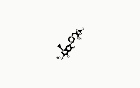 CC(C)(C)c1oc(=O)oc1CN1CCN(c2cc3c(cc2F)c(=O)c(C(=O)O)cn3C2CC2)CC1